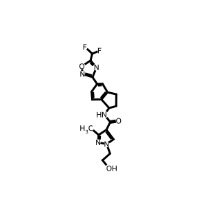 Cc1nn(CCO)cc1C(=O)NC1CCc2cc(-c3noc(C(F)F)n3)ccc21